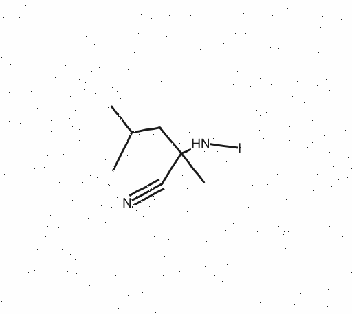 CC(C)CC(C)(C#N)NI